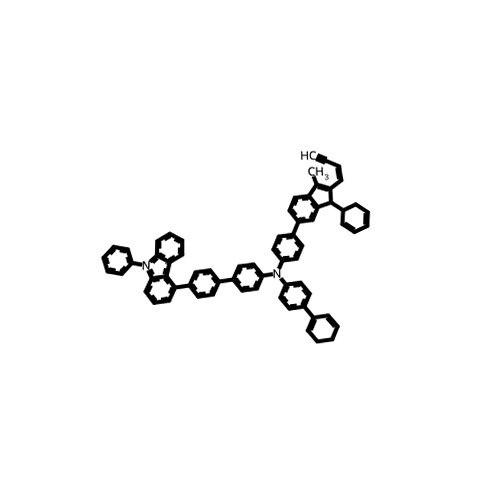 C#C/C=C\C1=C(C)c2ccc(-c3ccc(N(c4ccc(C5=CCCC=C5)cc4)c4ccc(-c5ccc(-c6cccc7c6c6ccccc6n7-c6ccccc6)cc5)cc4)cc3)cc2C1C1C=CC=CC1